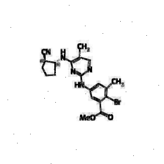 COC(=O)c1cc(Nc2ncc(C)c(N[C@@H]3CCC[C@H]3C#N)n2)cc(C)c1Br